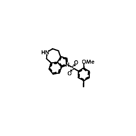 COc1ccc(C)cc1S(=O)(=O)n1cc2c3c(cccc31)CNCC2